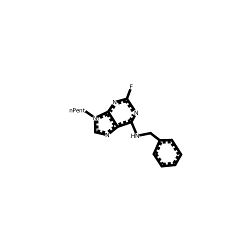 CCCCCn1cnc2c(NCc3ccccc3)nc(F)nc21